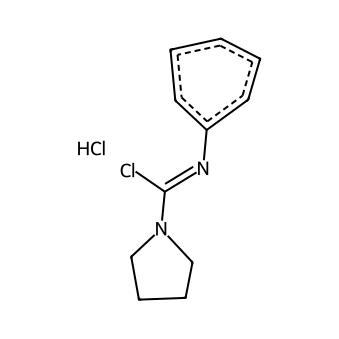 Cl.ClC(=Nc1ccccc1)N1CCCC1